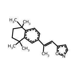 C/C(=C\c1ccno1)c1ccc2c(c1)C(C)(C)CCC2(C)C